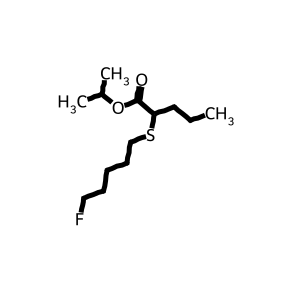 CCCC(SCCCCCF)C(=O)OC(C)C